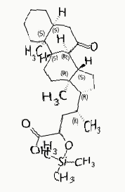 C[C@H](CC(O[Si](C)(C)C)C(=O)O)[C@H]1CC[C@H]2[C@@H]3C(=O)C[C@@H]4CCCC[C@]4(C)[C@H]3CC[C@]12C